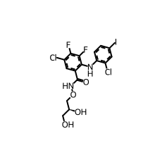 O=C(NOC[C@@H](O)CO)c1cc(Cl)c(F)c(F)c1Nc1ccc(I)cc1Cl